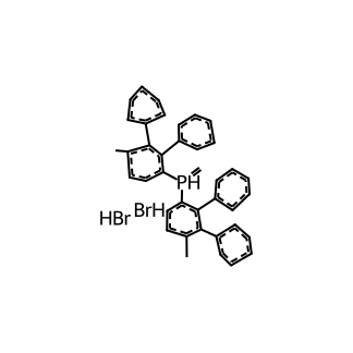 Br.Br.C=[PH](c1ccc(C)c(-c2ccccc2)c1-c1ccccc1)c1ccc(C)c(-c2ccccc2)c1-c1ccccc1